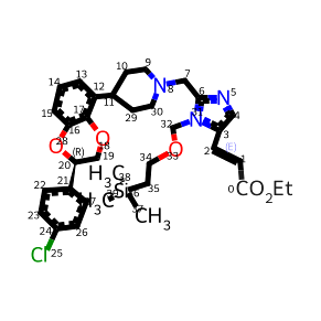 CCOC(=O)/C=C/c1cnc(CN2CCC(c3cccc4c3OC[C@@H](c3ccc(Cl)cc3)O4)CC2)n1COCC[Si](C)(C)C